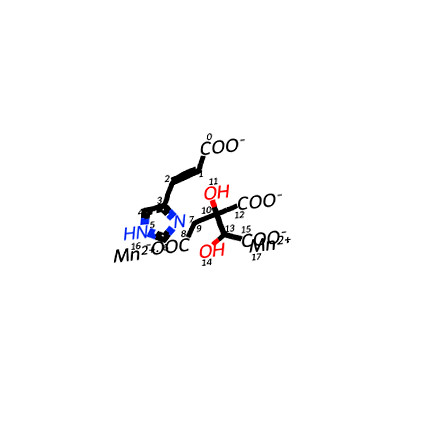 O=C([O-])C=Cc1c[nH]cn1.O=C([O-])CC(O)(C(=O)[O-])C(O)C(=O)[O-].[Mn+2].[Mn+2]